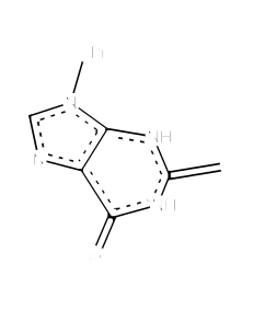 [CH2]CCn1cnc2c(=O)[nH]c(=O)[nH]c21